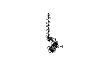 CCCCCCCCCCCCCCOc1ccc(C(=O)OC(C)[N+]2(C(=O)O)CC[N+](C(=O)O)(C(C)(C)C)CC2)o1